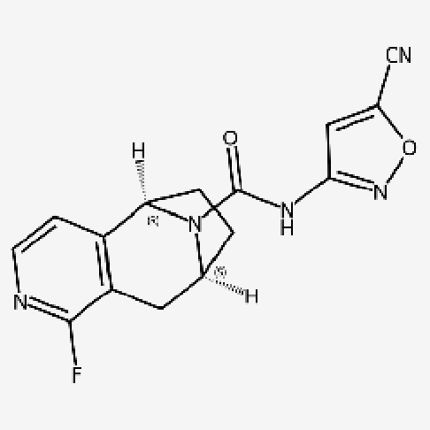 N#Cc1cc(NC(=O)N2[C@H]3CC[C@@H]2c2ccnc(F)c2C3)no1